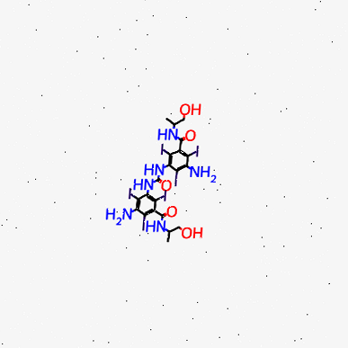 CC(CO)NC(=O)c1c(I)c(N)c(I)c(NC(=O)Nc2c(I)c(N)c(I)c(C(=O)NC(C)CO)c2I)c1I